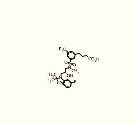 CCCC(C)(C)N(C[C@@H](O)CN(C)S(=O)(=O)c1cc(CCCC(=O)O)cc(C(F)(F)F)c1)c1cccc(F)c1